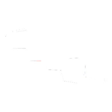 O=C(O)N1CCOC(COCc2ccccc2)CC1